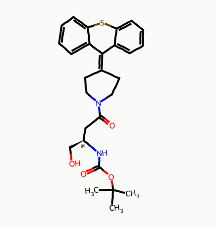 CC(C)(C)OC(=O)N[C@@H](CO)CC(=O)N1CCC(=C2c3ccccc3Sc3ccccc32)CC1